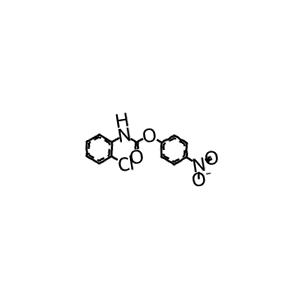 O=C(Nc1ccccc1Cl)Oc1ccc([N+](=O)[O-])cc1